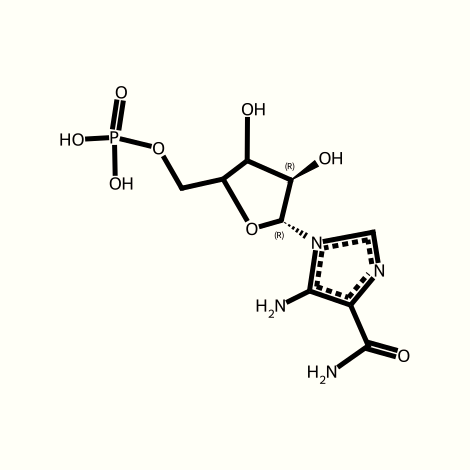 NC(=O)c1ncn([C@@H]2OC(COP(=O)(O)O)C(O)[C@H]2O)c1N